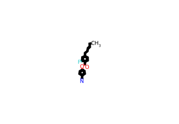 CCC=CCCc1ccc(C(=O)Oc2ccc(C#N)cc2)c(F)c1